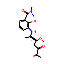 CO/C(CC(=O)C(C)=O)=C(/C)Nc1cccc(C(=O)N(C)C)c1O